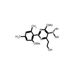 CCCN(CCC)c1c(CCO)nc(-c2c(C)cc(C)cc2OC)nc1OC